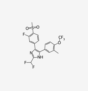 Cc1cc(-c2[nH]c(C(F)F)nc2-c2ccc(S(C)(=O)=O)c(F)c2)ccc1OC(F)(F)F